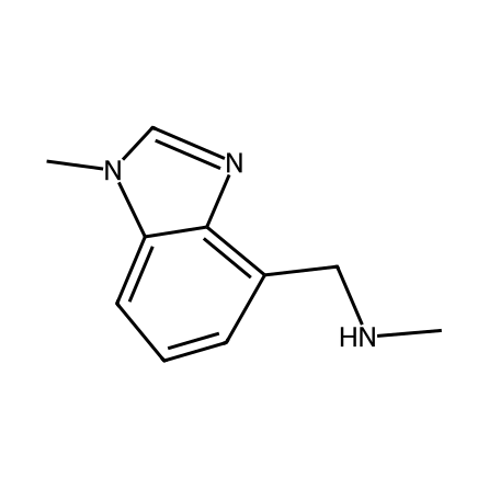 CNCc1cccc2c1ncn2C